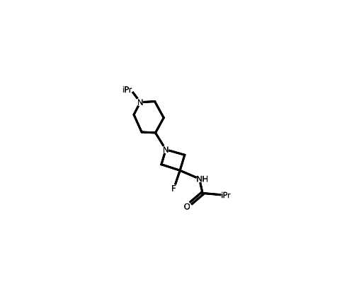 CC(C)C(=O)NC1(F)CN(C2CCN(C(C)C)CC2)C1